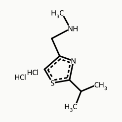 CNCc1csc(C(C)C)n1.Cl.Cl